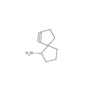 NC1CCCC12C#CCC2